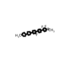 COc1ccc(-c2ccc(-c3ccc(C4=CCC(C5CCC(C)CC5)CC4)cc3F)cc2)c(F)c1F